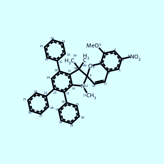 COc1cc([N+](=O)[O-])cc2c1OC1(C=C2)N(C)c2c(-c3ccccc3)c(-c3ccccc3)cc(-c3ccccc3)c2C1(C)C